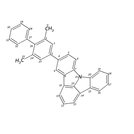 Cc1cc(-c2ccc3c(c2)c2cccc4c5ccccc5n3c42)cc(C)c1-c1ccccc1